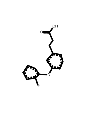 O=C(O)CCc1cccc(Oc2ccccc2F)c1